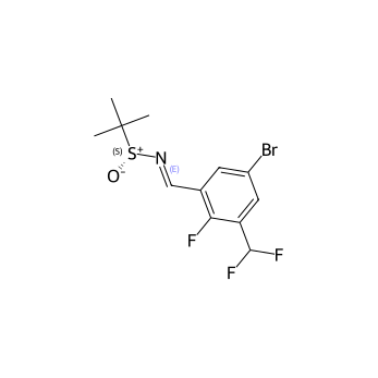 CC(C)(C)[S@@+]([O-])/N=C/c1cc(Br)cc(C(F)F)c1F